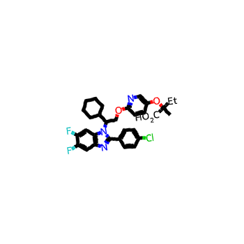 CCC(C)(Oc1ccc(OCC(C2CCCCC2)n2c(-c3ccc(Cl)cc3)nc3cc(F)c(F)cc32)nc1)C(=O)O